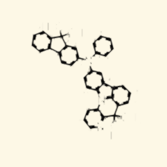 CC1(C)c2ccccc2-c2ccc(N(c3ccccc3)c3ccc4c(c3)c3cccc5c3n4-c3cccnc3C5(C)C)cc21